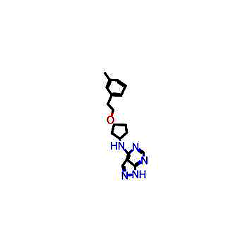 Cc1cccc(CCO[C@H]2CC[C@H](Nc3ncnc4[nH]ncc34)C2)c1